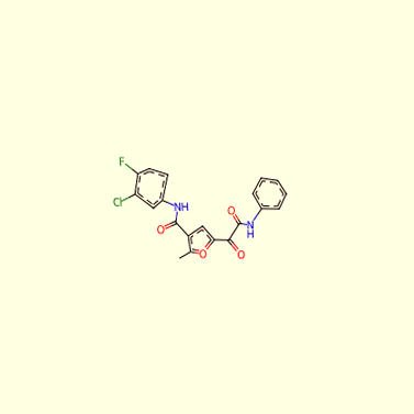 Cc1oc(C(=O)C(=O)Nc2ccccc2)cc1C(=O)Nc1ccc(F)c(Cl)c1